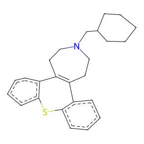 c1ccc2c(c1)Sc1ccccc1C1=C2CCN(CC2CCCCC2)CC1